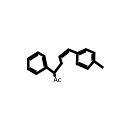 CC(=O)C(C/C=C\c1ccc(C)cc1)c1ccccc1